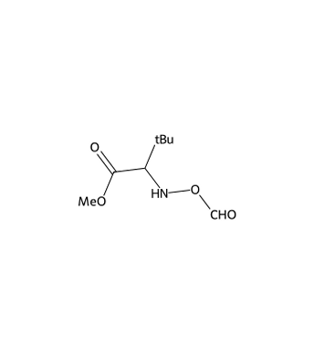 COC(=O)C(NOC=O)C(C)(C)C